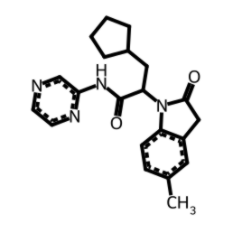 Cc1ccc2c(c1)CC(=O)N2C(CC1CCCC1)C(=O)Nc1cnccn1